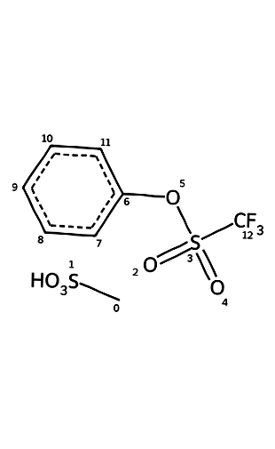 CS(=O)(=O)O.O=S(=O)(Oc1ccccc1)C(F)(F)F